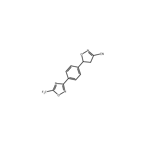 N#CC1=NOC(c2ccc(-c3noc(C(F)(F)F)n3)cc2)C1